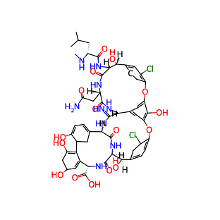 CN[C@H](CC(C)C)C(=O)N[C@H]1C(=O)N[C@@H](CC(N)=O)C(=O)N[C@H]2C(=N)N[C@H]3C(=O)N[C@H](C(=O)N[C@H](C(=O)O)C4=CC(O)CC(O)=C4C4CC3=CC=C4O)[C@H](O)C3=CC=C(Oc4cc2cc(c4O)OC2=C(Cl)C=C(CC2)[C@H]1O)C(Cl)C3